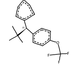 CC(C)(C)[C@@H](c1ccccc1)c1ccc(OC(F)(F)F)cc1